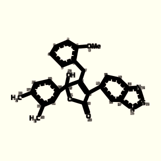 COc1ccccc1CC1=C(c2ccc3nsnc3c2)C(=O)OC1(O)c1ccc(C)c(C)c1